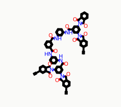 C#Cc1ccc2c(c1)C(=O)N(c1cc(C(=O)Nc3cccc(NC(=O)c4cccc(C(=O)Nc5cccc(NC(=O)c6cc(N7C(=O)c8ccc(C#C)cc8C7=O)cc(N7C(=O)c8ccc(C#C)cc8C7=O)c6)c5)c4)c3)cc(N3C(=O)c4ccccc4C3=O)c1)C2=O